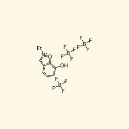 CC[n+]1cc2cccc(O)c2o1.F[B-](F)(F)F.F[B-](F)(F)F.F[B-](F)(F)F